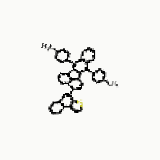 Cc1ccc(-c2c3c(c(-c4ccc(C)cc4)c4ccccc24)-c2ccc(-c4cc5ccccc5c5ccsc45)c4cccc-3c24)cc1